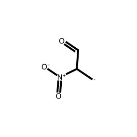 [CH2]C(C=O)[N+](=O)[O-]